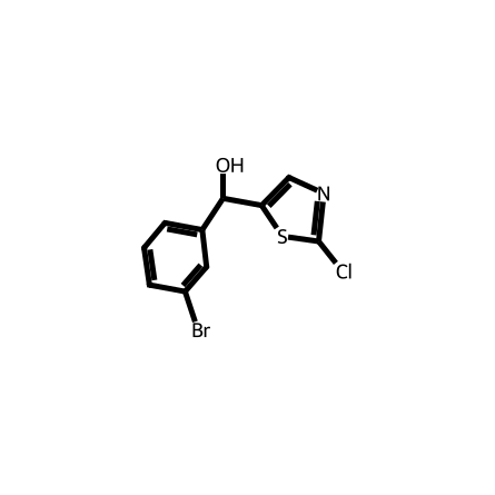 OC(c1cccc(Br)c1)c1cnc(Cl)s1